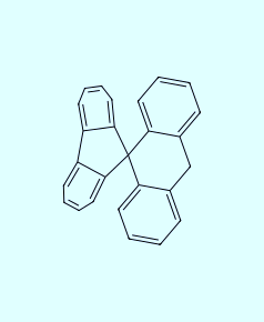 c1ccc2c(c1)Cc1ccccc1C21c2ccccc2-c2ccccc21